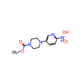 CC(C)(C)OC(=O)N1CCN(c2ccc([NH+]([O-])O)nc2)CC1